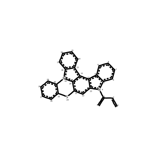 C=CC(=C)n1c2ccccc2c2c3c4ccccc4n4c3c(cc21)Sc1ccccc1-4